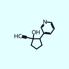 C#CC1(O)CCCC1c1cccnc1